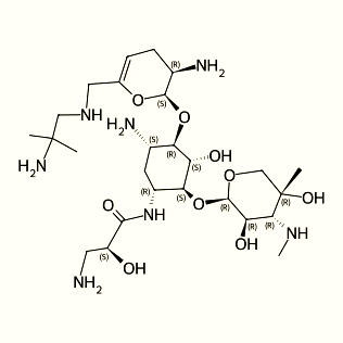 CN[C@@H]1[C@@H](O)[C@@H](O[C@@H]2[C@@H](O)[C@H](O[C@H]3OC(CNCC(C)(C)N)=CC[C@H]3N)[C@@H](N)C[C@H]2NC(=O)[C@@H](O)CN)OC[C@]1(C)O